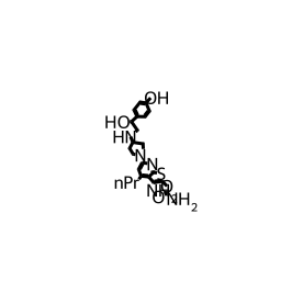 CCCc1cc(N2CCC(NCC(O)c3ccc(O)cc3)CC2)nc2sc(OC(N)=O)c(N)c12